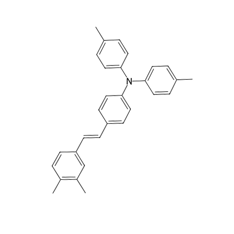 Cc1ccc(N(c2ccc(C)cc2)c2ccc(C=Cc3ccc(C)c(C)c3)cc2)cc1